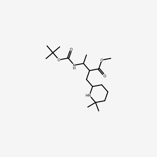 COC(=O)C(CC1CCCC(C)(C)N1)C(C)NC(=O)OC(C)(C)C